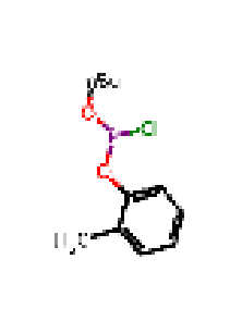 CCCCOP(Cl)Oc1ccccc1C